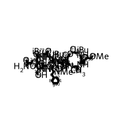 CC[C@H](C)[C@H](NC(=O)[C@@H](Cc1ccccc1)NC)C(=O)N[C@@H](CO)C(=O)N[C@H](CCC(N)=O)C(=O)N[C@@H](C(=O)N[C@H](C(=O)N[C@@H](CO)C(=O)N[C@H]1C(=O)N[C@@H](C)C(=O)NC2(CC2CCOC)C(=O)N[C@@H]([C@@H](C)CC)C(=O)O[C@H]1C)[C@@H](C)CC)[C@@H](C)CC